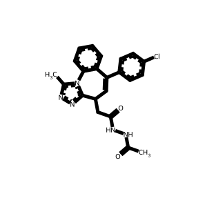 CC(=O)NNC(=O)CC1C=C(c2ccc(Cl)cc2)c2ccccc2-n2c(C)nnc21